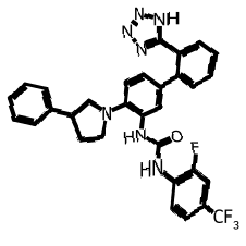 O=C(Nc1ccc(C(F)(F)F)cc1F)Nc1cc(-c2ccccc2-c2nnn[nH]2)ccc1N1CCC(c2ccccc2)C1